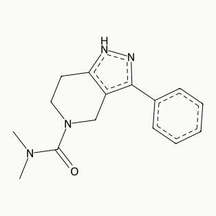 CN(C)C(=O)N1CCc2[nH]nc(-c3ccccc3)c2C1